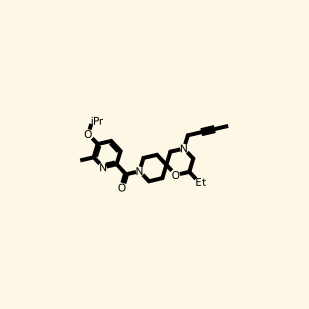 CC#CCN1CC(CC)OC2(CCN(C(=O)c3ccc(OC(C)C)c(C)n3)CC2)C1